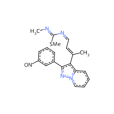 C/N=C(/N=C\C=C(/C)c1c(-c2cccc(N=O)c2)nn2ccccc12)SC